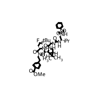 COC(=O)c1ccc(CCNC(=O)[C@H](CC(F)F)NC(=O)[C@@H]2[C@@H]3[C@H](CN2C(=O)[C@@H](NC(=O)N[C@H](CNS(=O)(=O)c2ccccc2)C(C)C)C(C)(C)C)C3(C)C)cc1